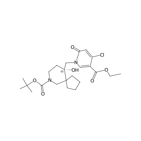 CCOC(=O)c1cn(C[C@]2(O)CCN(C(=O)OC(C)(C)C)CC23CCCC3)c(=O)cc1Cl